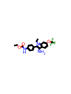 CCOC(=O)Nc1ccc(-c2c(N)c3ccc(OC(F)(F)F)cc3n2CC)cc1